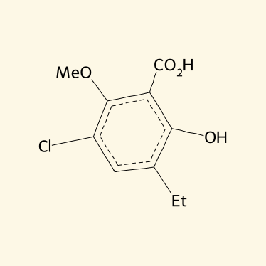 CCc1cc(Cl)c(OC)c(C(=O)O)c1O